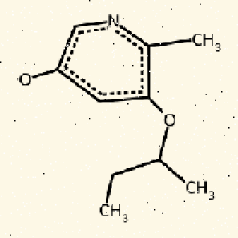 CCC(C)Oc1cc([O])cnc1C